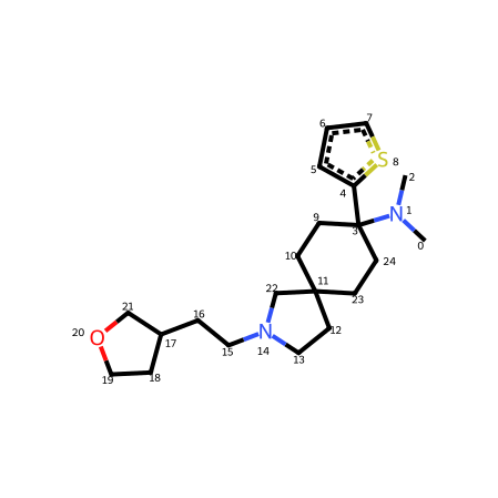 CN(C)C1(c2cccs2)CCC2(CCN(CCC3CCOC3)C2)CC1